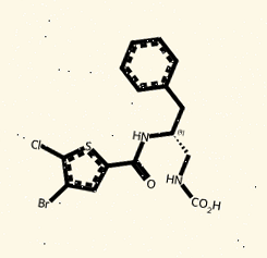 O=C(O)NC[C@@H](Cc1ccccc1)NC(=O)c1cc(Br)c(Cl)s1